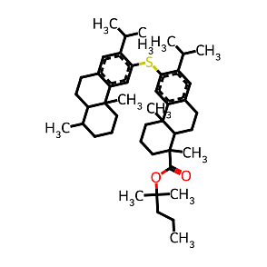 CCCC(C)(C)OC(=O)C1(C)CCCC2(C)c3cc(Sc4cc5c(cc4C(C)C)CCC4C(C)CCCC54C)c(C(C)C)cc3CCC12